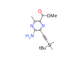 COC(=O)c1nc(C#C[Si](C)(C)C(C)(C)C)c(N)nc1C